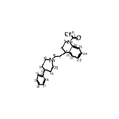 CCC(=O)N1CCC(CCN2CCC(c3ccccc3)CC2)c2ccccc21